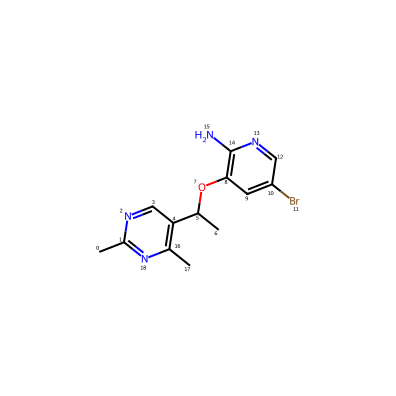 Cc1ncc(C(C)Oc2cc(Br)cnc2N)c(C)n1